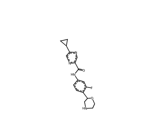 O=C(Nc1ccc(C2CNCCO2)c(F)c1)c1cnc(C2CC2)cn1